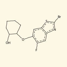 OC1CCCCC1Oc1cc2sc(Br)nc2cc1F